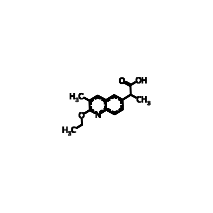 CCOc1nc2ccc(C(C)C(=O)O)cc2cc1C